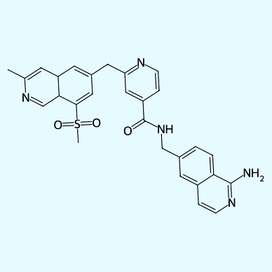 CC1=CC2C=C(Cc3cc(C(=O)NCc4ccc5c(N)nccc5c4)ccn3)C=C(S(C)(=O)=O)C2C=N1